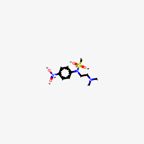 CN(C)CCN(c1ccc([N+](=O)[O-])cc1)S(C)(=O)=O